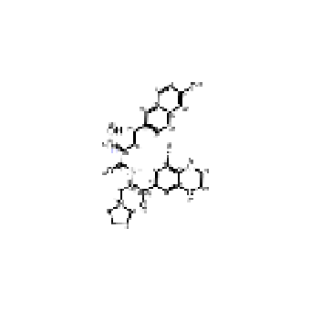 O=C(N[C@H](CN1CCCC1)[C@H](O)c1cc(F)c2c(c1)OCCO2)/C(CCc1ccc2cc(F)ccc2c1)=N/O